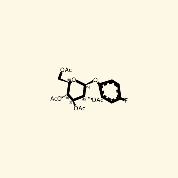 CC(=O)OC[C@H]1O[C@@H](Oc2ccc(F)cc2)[C@H](OC(C)=O)[C@@H](OC(C)=O)[C@@H]1OC(C)=O